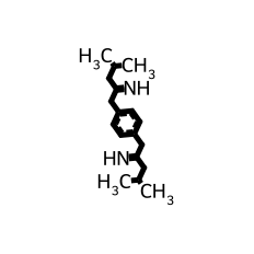 CC(C)CC(=N)Cc1ccc(CC(=N)CC(C)C)cc1